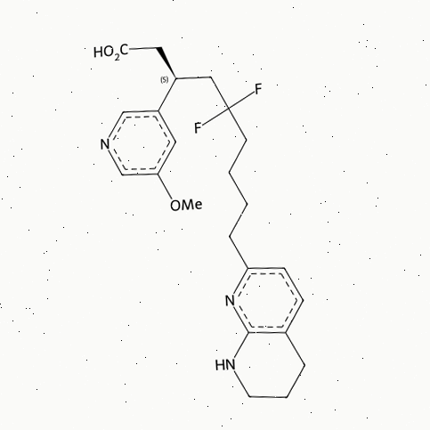 COc1cncc([C@@H](CC(=O)O)CC(F)(F)CCCCc2ccc3c(n2)NCCC3)c1